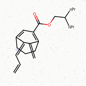 C=C/C=c1/c2cc(C(=O)OCC(CCC)CCC)c(c1=C)CCC2